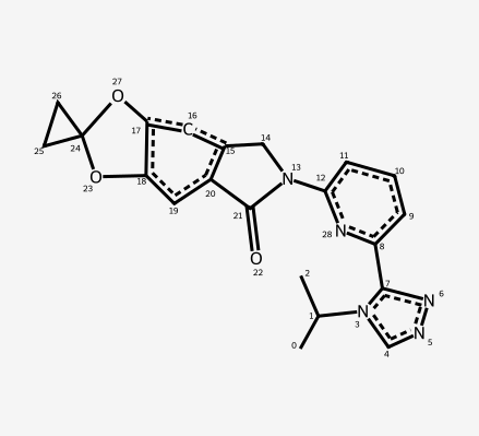 CC(C)n1cnnc1-c1cccc(N2Cc3cc4c(cc3C2=O)OC2(CC2)O4)n1